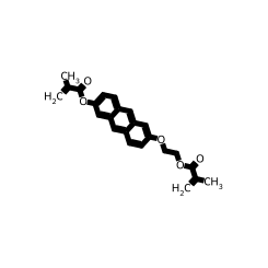 C=C(C)C(=O)OCCOc1ccc2cc3cc(OC(=O)C(=C)C)ccc3cc2c1